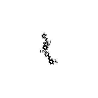 COc1cccc(/C=C/c2cnc(Nc3ccc(S(=O)(=O)NCCN4CCCC4)cc3)nn2)c1